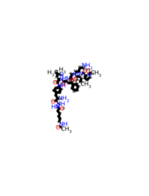 CC(=O)NCCCCCC(=O)NNC(=O)[C@H](N)Cc1ccc(NC(=O)[C@H](CC(C)C)NC(=O)[C@H](CCc2ccccc2)NC(=O)CN(CCCCN)C(=O)[C@H](CC(C)C)NC(=O)[C@@H]2CCCN2C(C)=O)cc1